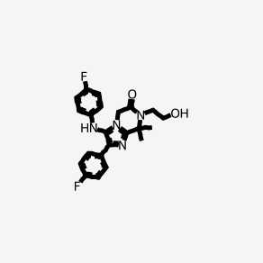 CC1(C)c2nc(-c3ccc(F)cc3)c(Nc3ccc(F)cc3)n2CC(=O)N1CCO